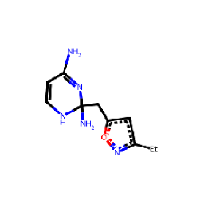 CCc1cc(CC2(N)N=C(N)C=CN2)on1